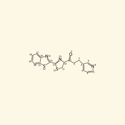 O=C(CCc1cccnc1)C1CSC(c2nc3ccccc3s2)=N1